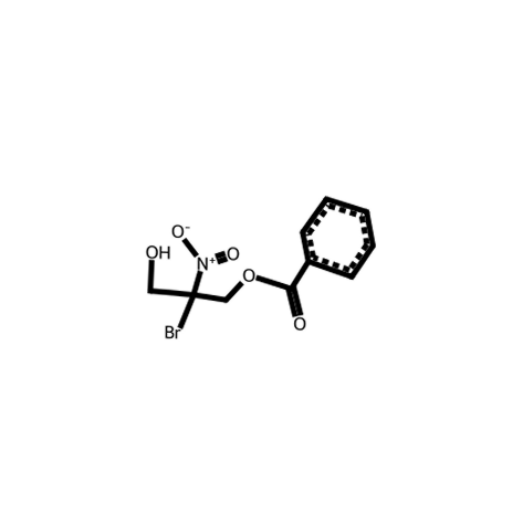 O=C(OCC(Br)(CO)[N+](=O)[O-])c1ccccc1